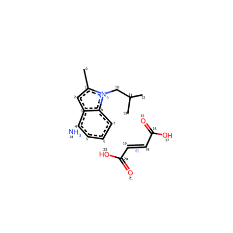 Cc1cc2ccccc2n1CC(C)C.N.O=C(O)/C=C/C(=O)O